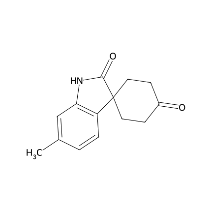 Cc1ccc2c(c1)NC(=O)C21CCC(=O)CC1